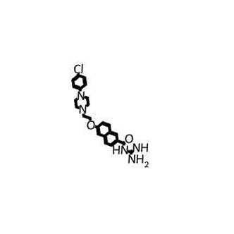 N=C(N)NC(=O)c1ccc2cc(OCCN3CCN(c4ccc(Cl)cc4)CC3)ccc2c1